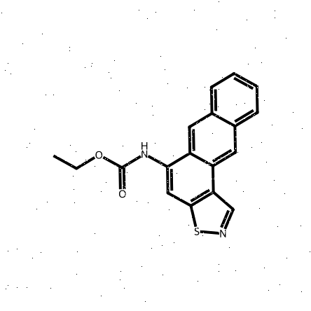 CCOC(=O)Nc1cc2sncc2c2cc3ccccc3cc12